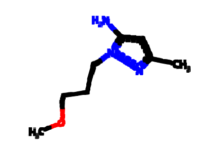 COCCCn1nc(C)cc1N